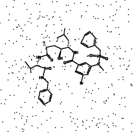 CC(C)C[C@H](NC(=O)c1cc(Br)cc(N(C)S(=O)(=O)Cc2ccccc2)c1)[C@@H](O)C[C@@H](C)C(=O)N[C@H](C(=O)NCc1ccccc1)C(C)C